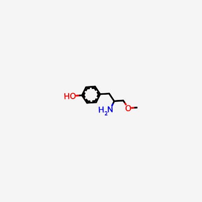 COCC(N)Cc1ccc(O)cc1